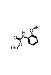 CC(C)Oc1ccccc1NC(=O)OC(C)(C)C